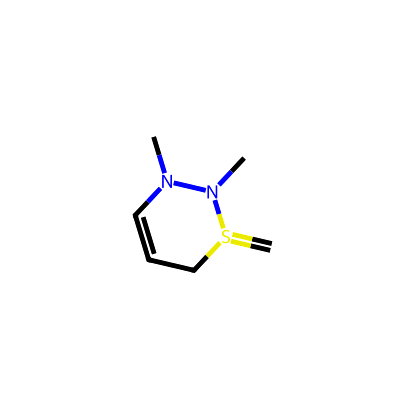 C=S1CC=CN(C)N1C